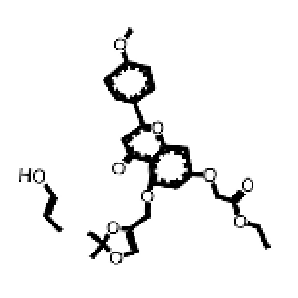 CC=CO.CCOC(=O)COc1cc(OCC2=COC(C)(C)O2)c2c(=O)cc(-c3ccc(OC)cc3)oc2c1